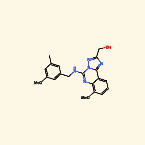 COc1cc(C)cc(CNc2nc3c(OC)cccc3c3nc(CO)nn23)c1